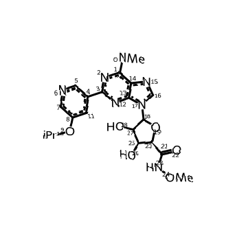 CNc1nc(-c2cncc(OC(C)C)c2)nc2c1ncn2C1O[C@@H](C(=O)NOC)C(O)C1O